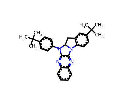 CC(C)(C)c1ccc(N2c3nc4ccccc4nc3N3c4ccc(C(C)(C)C)cc4CC23)cc1